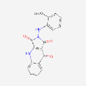 COc1ccccc1NN1C(=O)c2[nH]c3ccccc3c(=O)c2C1=O